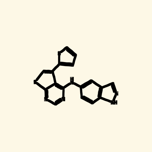 c1csc(-c2csc3ncnc(Nc4ccc5[nH]ncc5c4)c23)c1